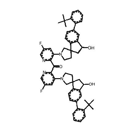 CC(C)(C)c1ccccc1-c1ccc2c(c1)C(O)CC21CCN(c2cc(F)cnc2C(=O)c2ncc(F)cc2N2CCC3(CC(O)c4cc(-c5ccccc5C(C)(C)C)ccc43)C2)C1